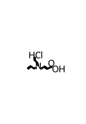 C=CCN(CC=C)C/C=C/C(=O)O.Cl